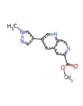 COC(=O)c1cc2cc(-c3cnn(C)c3)cnc2cn1